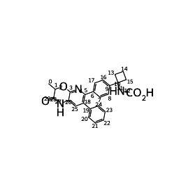 CC1Oc2nc(-c3ccc(C4(NC(=O)O)CCC4)cc3)c(-c3ccccc3)cc2NC1=O